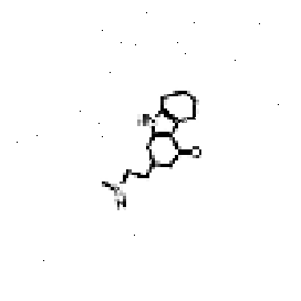 CNCCC1CC(=O)c2c([nH]c3c2CCCC3)C1